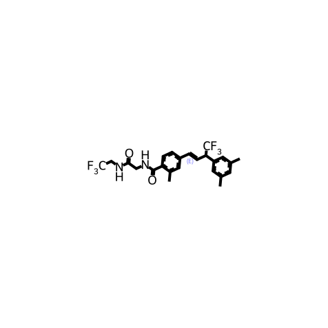 Cc1cc(C)cc(C(/C=C/c2ccc(C(=O)NCC(=O)NCC(F)(F)F)c(C)c2)C(F)(F)F)c1